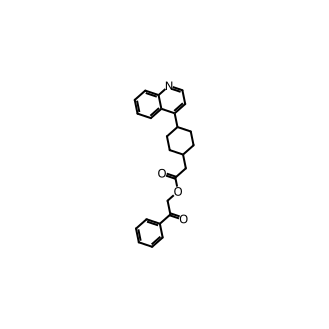 O=C(CC1CCC(c2ccnc3ccccc23)CC1)OCC(=O)c1ccccc1